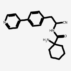 N#CC(Cc1ccc(-c2ccncc2)cc1)NC(=O)C1(N)CCCCC1